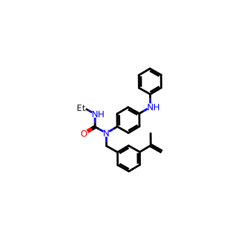 C=C(C)c1cccc(CN(C(=O)NCC)c2ccc(Nc3ccccc3)cc2)c1